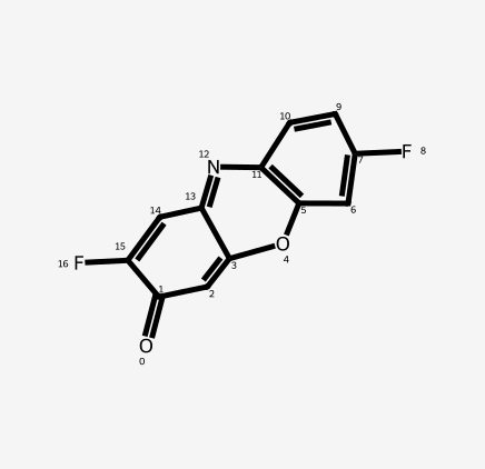 O=c1cc2oc3cc(F)ccc3nc-2cc1F